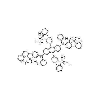 CC1(C)c2ccccc2-c2ccc(-c3c4ccc(N(c5ccccc5)c5ccc6c(c5)C(C)(C)c5c-6ccc6ccccc56)cc4c(-c4ccc5c(c4)C(C)(C)c4ccccc4-5)c4ccc(N(c5ccccc5)c5ccc6c(c5)C(C)(C)c5ccccc5-6)cc34)cc21